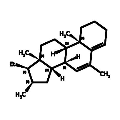 CC[C@@H]1[C@H](C)C[C@H]2[C@@H]3C=C(C)C4=CCCC[C@]4(C)[C@H]3CC[C@]12C